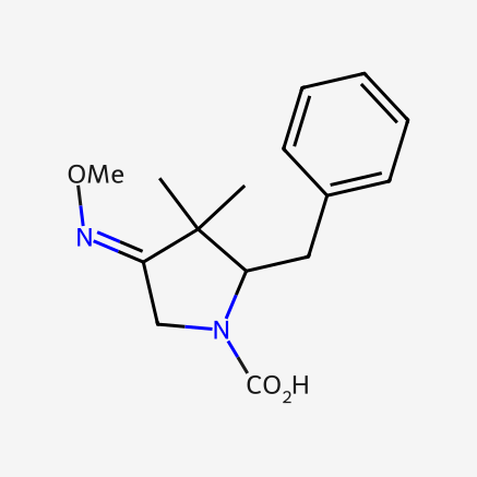 CON=C1CN(C(=O)O)C(Cc2ccccc2)C1(C)C